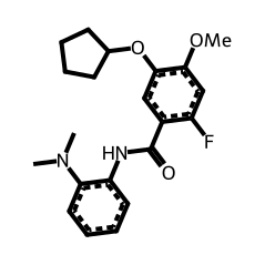 COc1cc(F)c(C(=O)Nc2ccccc2N(C)C)cc1OC1CCCC1